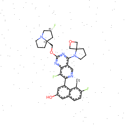 CCc1c(F)ccc2cc(O)cc(-c3ncc4c(N5CCCC56COC6)nc(OC[C@@]56CCCN5C[C@H](F)C6)nc4c3F)c12